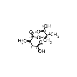 C=C(C)C(=O)O.C=C(CC(=O)O)C(=O)O